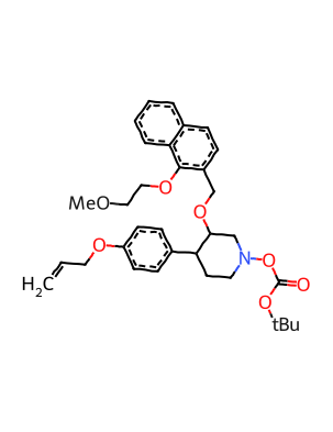 C=CCOc1ccc(C2CCN(OC(=O)OC(C)(C)C)CC2OCc2ccc3ccccc3c2OCCOC)cc1